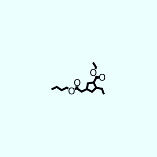 CCCCOC(=O)CC1CC(CC)C(C(=O)OCC)C1